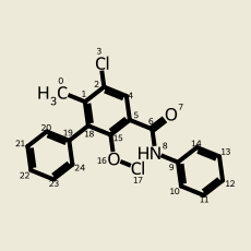 Cc1c(Cl)cc(C(=O)Nc2ccccc2)c(OCl)c1-c1ccccc1